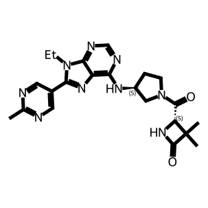 CCn1c(-c2cnc(C)nc2)nc2c(N[C@H]3CCN(C(=O)[C@H]4NC(=O)C4(C)C)C3)ncnc21